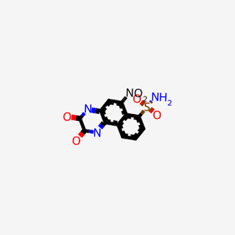 NS(=O)(=O)c1cccc2c3c(cc([N+](=O)[O-])c12)=NC(=O)C(=O)N=3